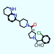 O=CC(c1ccccc1Cl)N1CC[C@@H](C(=O)N2CCC(c3ccc4c(n3)NCCC4)CC2)C1